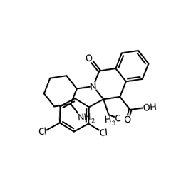 CCC1(c2ccc(Cl)cc2Cl)C(C(=O)O)c2ccccc2C(=O)N1C1CCCCC1N